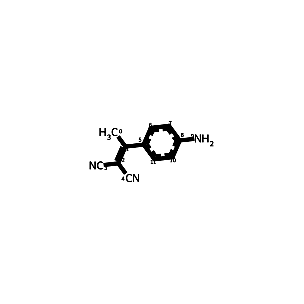 CC(=C(C#N)C#N)c1ccc(N)cc1